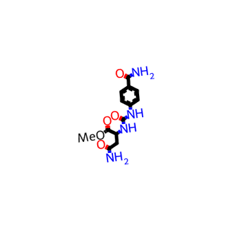 COC(=O)C(CC(N)=O)NC(=O)Nc1ccc(C(N)=O)cc1